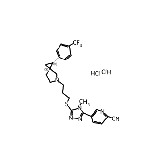 Cl.Cl.Cn1c(SCCCN2CC[C@]3(C[C@@H]3c3ccc(C(F)(F)F)cc3)C2)nnc1-c1ccc(C#N)nc1